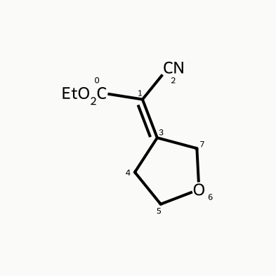 CCOC(=O)/C(C#N)=C1\CCOC1